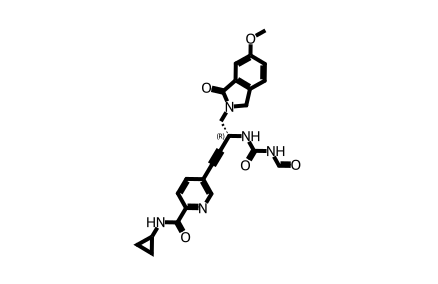 COc1ccc2c(c1)C(=O)N(C[C@@H](C#Cc1ccc(C(=O)NC3CC3)nc1)NC(=O)NC=O)C2